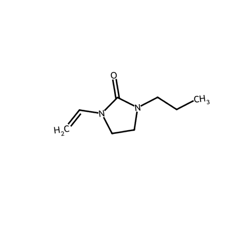 C=CN1CCN(CCC)C1=O